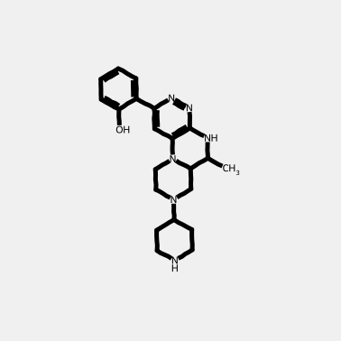 CC1Nc2nnc(-c3ccccc3O)cc2N2CCN(C3CCNCC3)CC12